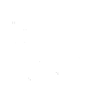 COC(=O)C1=CC(C#N)(C#N)C(c2ccc(F)cc2)C1